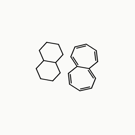 C1=CC=C2C=CC=CC=C2C=C1.C1CCC2CCCCC2C1